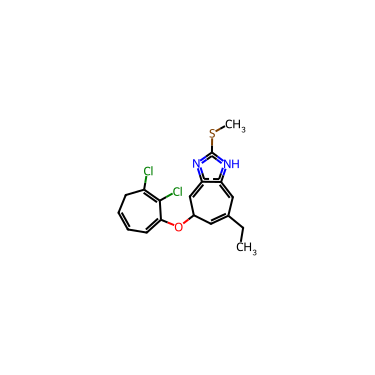 CCC1=CC(OC2=CC=CCC(Cl)=C2Cl)C=c2nc(SC)[nH]c2=C1